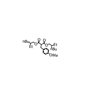 CCCCC(CC)COC(=O)C(Cc1ccc(OC)cc1)C(=O)OCC(CC)CCCC